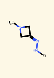 CCNN=C1CN(C)C1